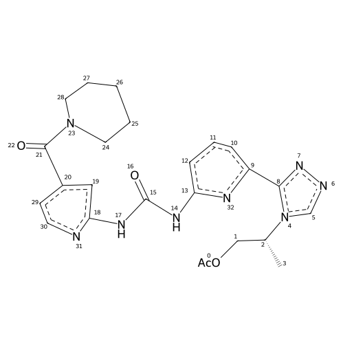 CC(=O)OC[C@@H](C)n1cnnc1-c1cccc(NC(=O)Nc2cc(C(=O)N3CCCCC3)ccn2)n1